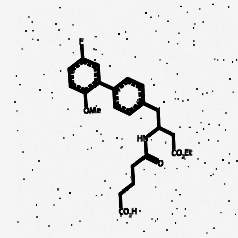 CCOC(=O)CC(Cc1ccc(-c2cc(F)ccc2OC)cc1)NC(=O)CCCC(=O)O